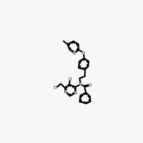 Cc1ccc(Oc2ccc(CCN(C(=O)c3ccccc3)c3ncnc(CCl)c3Cl)cc2)nc1